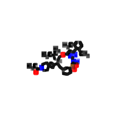 CC(=O)N1CCC2(CC1)CC(C1Cc3cccc(c3)S(=O)(=O)Nc3nc(cc(-c4c(C)cccc4C)n3)OC[C@H]1CC(C)C)C2